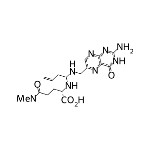 C=CCC(NCc1cnc2nc(N)[nH]c(=O)c2n1)N[C@@H](CCC(=O)NC)C(=O)O